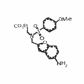 CCOC(=O)CN(Cc1cc2cc(N)ccc2o1)S(=O)(=O)c1ccc(OC)cc1